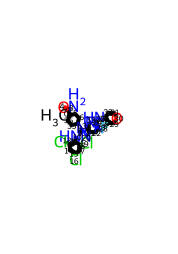 C[C@]1(C(N)=O)CC[C@H](n2c(Nc3c(Cl)cc(Cl)cc3Cl)nc3cnc(NC4=C(F)COC=C4)nc32)CC1